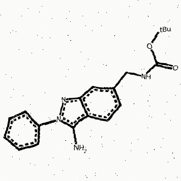 CC(C)(C)OC(=O)NCc1ccc2c(N)n(-c3ccccc3)nc2c1